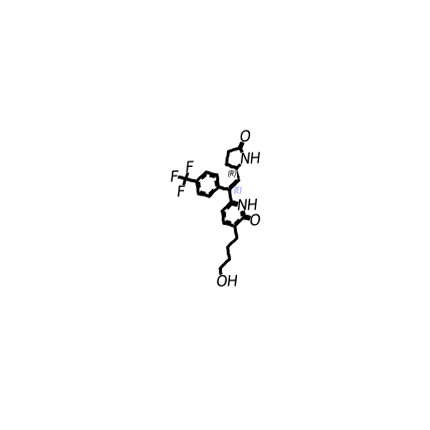 O=C1CC[C@H](/C=C(\c2ccc(C(F)(F)F)cc2)c2ccc(CCCCO)c(=O)[nH]2)N1